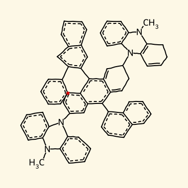 CN1C2=C(C=CCC2)N(C2C=c3c(-c4cc5ccccc5cc4-c4ccccc4)c4ccc(N5c6ccccc6N(C)c6ccccc65)cc4c(-c4cccc5ccccc45)c3=CC2)c2ccccc21